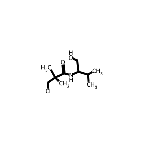 CC(C)C(CO)NC(=O)C(C)(C)CCl